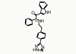 O=C(c1c[nH]c2ccccc12)[C@@H](NCCc1ccc(-c2nn[nH]n2)cc1)c1ccccc1